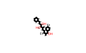 CCC1CCC(C(O)C(C)[C@@H](CC)CCC(C)C(O)C(O)CCC2CCCCC2)CC1